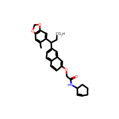 Cc1cc2c(cc1C(CC(=O)O)c1ccc3ccc(OCC(=O)NC4C=CCCC4)cc3c1)OCO2